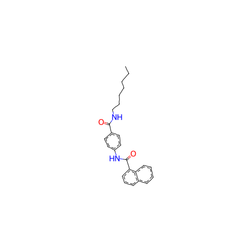 CCCCCCCNC(=O)c1ccc(NC(=O)c2cccc3ccccc23)cc1